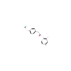 O=C(Cc1ccc(OC(F)(F)F)cc1)Nc1ccc(Br)cc1I